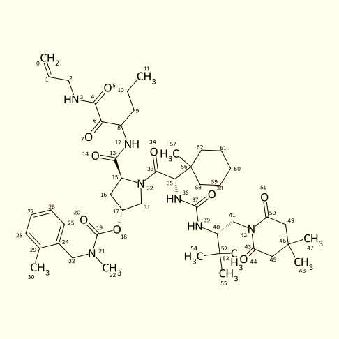 C=CCNC(=O)C(=O)C(CCC)NC(=O)[C@@H]1C[C@@H](OC(=O)N(C)Cc2ccccc2C)CN1C(=O)[C@@H](NC(=O)N[C@H](CN1C(=O)CC(C)(C)CC1=O)C(C)(C)C)C1(C)CCCCC1